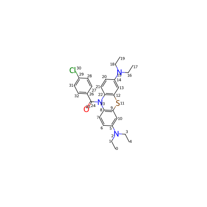 CCN(CC)c1ccc2c(c1)Sc1cc(N(CC)CC)ccc1N2C(=O)c1ccc(Cl)cc1